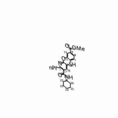 CCCc1nc(Oc2cccc(C(=O)OC)c2)c(S)cc1C(=O)NC1CCCCC1